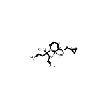 C=CCC(C=O)(CC=C)N1C=CC=C(OCC2CC2)[C@@]1(C)CCCC